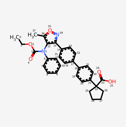 CCOC(=O)N(c1ccccc1)c1c(-c2ccc(-c3ccc(C4(C(=O)O)CCCC4)cc3)cc2)noc1C